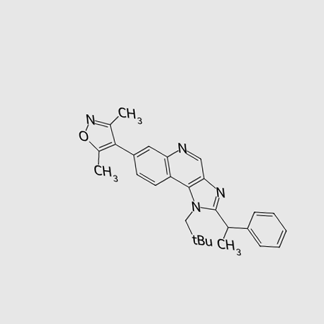 Cc1noc(C)c1-c1ccc2c(c1)ncc1nc(C(C)c3ccccc3)n(CC(C)(C)C)c12